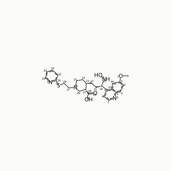 COc1ccc2nccc([C@@H](CC[C@@H]3CCN(CCSc4ccccn4)C[C@@H]3C(=O)O)NO)c2c1